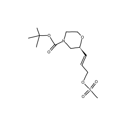 CC(C)(C)OC(=O)N1CCO[C@@H](/C=C/COS(C)(=O)=O)C1